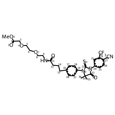 COC(=O)COCCOCCNC(=O)CCCc1ccc(N2C(=S)N(c3ccc(C#N)c(C(F)(F)F)c3)C(=O)C2(C)C)cc1